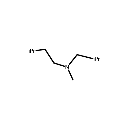 CC(C)CCN(C)CC(C)C